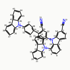 N#Cc1ccc2c3cccc(-n4c5ccccc5c5ccccc54)c3n(-c3ccc(-c4ccc(-n5c6ccccc6c6ccccc65)cc4)c(C#N)c3)c2c1